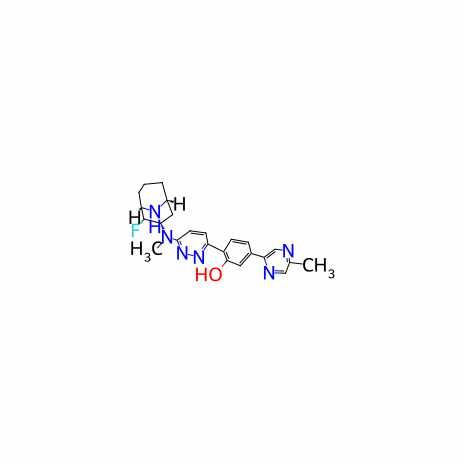 Cc1cnc(-c2ccc(-c3ccc(N(C)[C@@H]4C[C@H]5CCC[C@H](N5)[C@@H]4F)nn3)c(O)c2)cn1